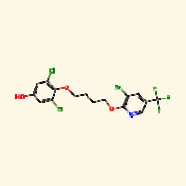 Oc1cc(Cl)c(OCCCCOc2ncc(C(F)(F)F)cc2Br)c(Cl)c1